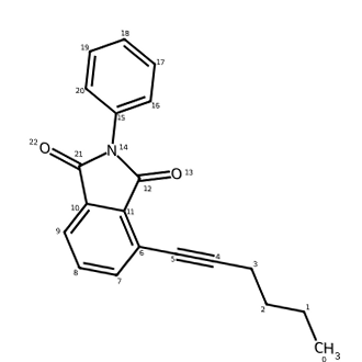 CCCCC#Cc1cccc2c1C(=O)N(c1ccccc1)C2=O